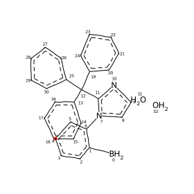 Bc1ccccc1-n1ccnc1C(c1ccccc1)(c1ccccc1)c1ccccc1.O.O